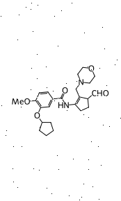 COc1ccc(C(=O)NC2=C(CN3CCOCC3)C(C=O)CC2)cc1OC1CCCC1